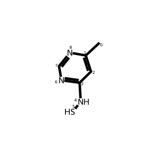 Cc1cc(NS)ncn1